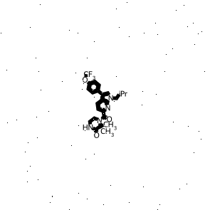 CC(C)Cn1cc(-c2ccc(OC(F)(F)F)cc2)c2ccc(C(=O)N3CCNC(=O)C3(C)C)nc21